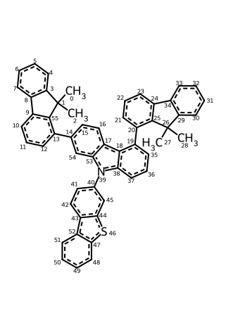 CC1(C)c2ccccc2-c2cccc(-c3ccc4c5c(-c6cccc7c6C(C)(C)c6ccccc6-7)cccc5n(-c5ccc6c(c5)sc5ccccc56)c4c3)c21